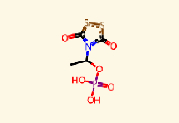 CC(OP(=O)(O)O)n1c(=O)ssc1=O